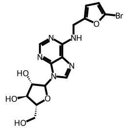 OC[C@H]1OC(n2cnc3c(NCc4ccc(Br)o4)ncnc32)[C@@H](O)[C@@H]1O